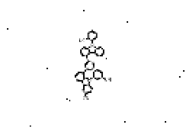 N#Cc1cccc(-n2c3ccc(C#N)cc3c3cccc(-c4cccc(-c5cccc6c5c5ccccc5n6-c5ccccc5C#N)c4)c32)c1